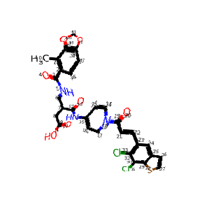 Cc1c(C(=O)NCC(CC(=O)O)C(=O)NC2=CCN(C(=O)/C=C/c3cc4ccsc4c(Cl)c3Cl)CC2)ccc2c1OCO2